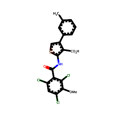 COc1c(Cl)cc(Cl)c(C(=O)Nc2scc(-c3cccc(C)c3)c2C(=O)O)c1Cl